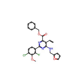 C=Cc1c(NCc2ccco2)nc(-c2ccc(Cl)c(OC)c2F)nc1C(=O)OCc1ccccc1